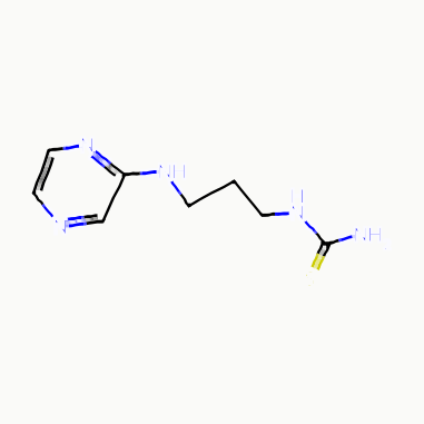 NC(=S)NCCCNc1cnccn1